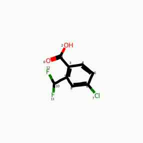 O=C(O)c1ccc(Cl)cc1C(F)F